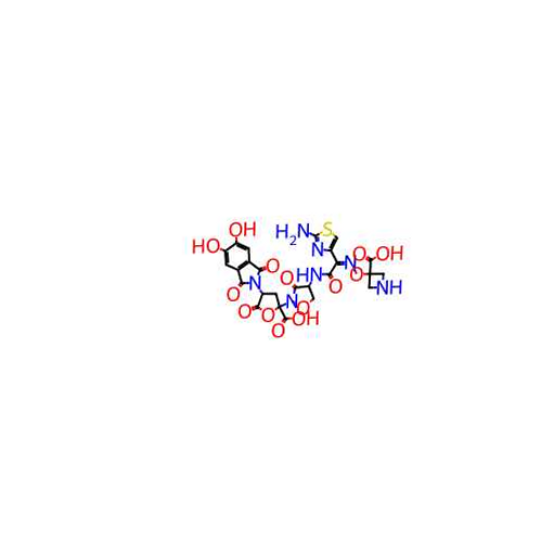 Nc1nc(/C(=N/OC2(C(=O)O)CNC2)C(=O)N[C@H]2CON(C3(C(=O)O)C[C@H](N4C(=O)c5cc(O)c(O)cc5C4=O)C(=O)O3)C2=O)cs1